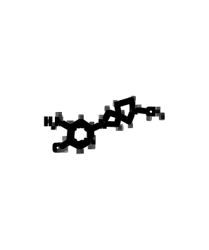 CN1CCC2(C1)CN(c1cc(N)c(Cl)cn1)C2